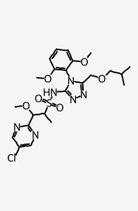 COc1cccc(OC)c1-n1c(COCC(C)C)nnc1NS(=O)(=O)C(C)C(OC)c1ncc(Cl)cn1